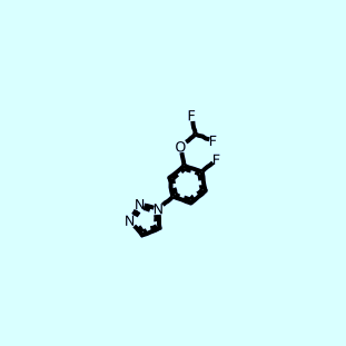 Fc1ccc(-n2ccnn2)cc1OC(F)F